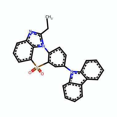 CCc1nc2cccc3c2n1-c1ccc(-n2c4ccccc4c4ccccc42)cc1S3(=O)=O